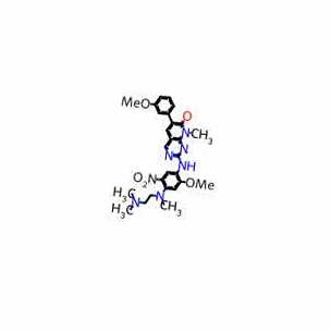 COc1cccc(-c2cc3cnc(Nc4cc([N+](=O)[O-])c(N(C)CCN(C)C)cc4OC)nc3n(C)c2=O)c1